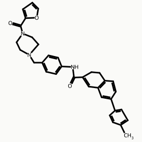 Cc1ccc(-c2ccc3c(c2)C=C(C(=O)Nc2ccc(CN4CCN(C(=O)c5ccco5)CC4)cc2)CC3)cc1